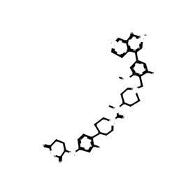 COc1cc(-c2cn(C)c(=O)c3cnccc23)cc(F)c1CN1CCC(N(C)C(=O)N2CCC(c3ccc(NC4CCC(=O)NC4=O)cc3Cl)CC2)CC1